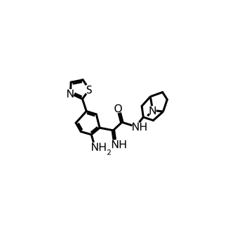 CN1C2CCC1CC(NC(=O)C(=N)c1cc(-c3nccs3)ccc1N)C2